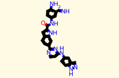 N=Cc1cc(NC(=O)c2cc3ccc(-c4nccc(Nc5ccc6[nH]ncc6c5)n4)cc3[nH]2)ccc1N